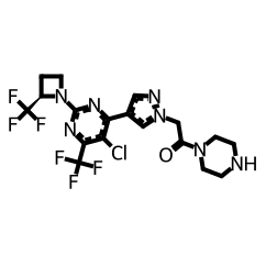 O=C(Cn1cc(-c2nc(N3CC[C@@H]3C(F)(F)F)nc(C(F)(F)F)c2Cl)cn1)N1CCNCC1